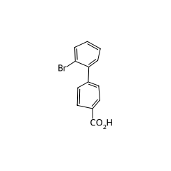 O=C(O)c1ccc(-c2ccccc2Br)cc1